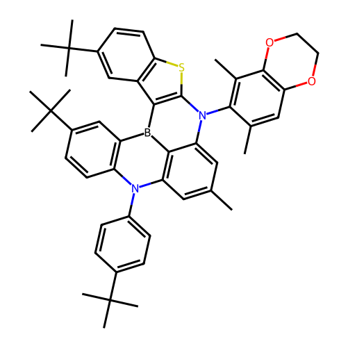 Cc1cc2c3c(c1)N(c1c(C)cc4c(c1C)OCCO4)c1sc4ccc(C(C)(C)C)cc4c1B3c1cc(C(C)(C)C)ccc1N2c1ccc(C(C)(C)C)cc1